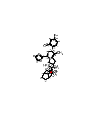 CC1=C2CC(NS(=O)(=O)C3C4CCC3CC(O)(C(C)O)C4)CN2C(c2nccs2)=N[C@H]1c1ccc(F)cc1Cl